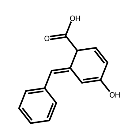 O=C(O)C1C=CC(O)=CC1=Cc1ccccc1